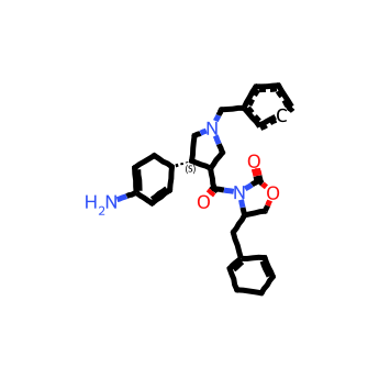 NC1=CCC([C@@H]2CN(Cc3ccccc3)CC2C(=O)N2C(=O)OCC2CC2=CCCC=C2)C=C1